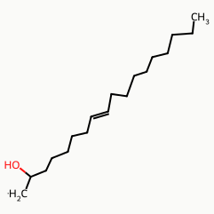 [CH2]C(O)CCCCCC=CCCCCCCCCC